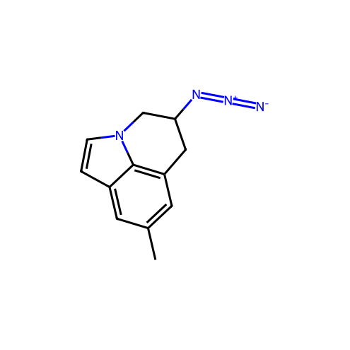 Cc1cc2c3c(ccn3CC(N=[N+]=[N-])C2)c1